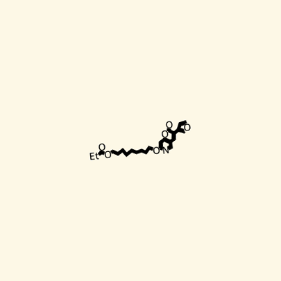 CCC(=O)OCCCCCCCCCOc1cc2oc(=O)c(-c3ccoc3)cc2cn1